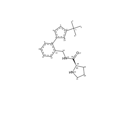 CC(C)(C)c1ccc(-c2ccccc2CNC(=O)[C@H]2CCCN2)s1